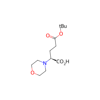 CC(C)(C)OC(=O)CC[C@@H](C(=O)O)N1CCOCC1